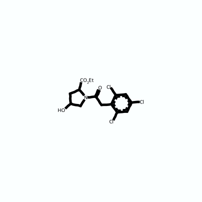 CCOC(=O)C1CC(O)CN1C(=O)Cc1c(Cl)cc(Cl)cc1Cl